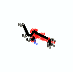 C=C/C=C/C=C/C=C/C=C/C(C)C/C=C/C(C[C@@H]1OC(O)(CC(O)CC(O)C(O)CCC(O)CC(O)CC(=O)O[C@@H](C)C[C@H](O)C(C)C)C[C@H](O)[C@H]1C(=O)O)O[C@@H]1O[C@H](C)[C@@H](O)[C@H](N)[C@@H]1O